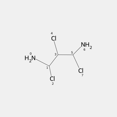 NC(Cl)C(Cl)C(N)Cl